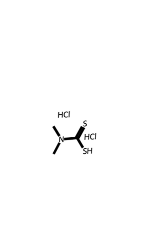 CN(C)C(=S)S.Cl.Cl